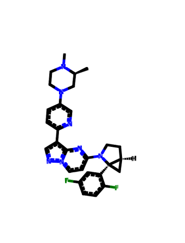 C[C@H]1CN(c2ccc(-c3cnn4ccc(N5CC[C@H]6C[C@]65c5cc(F)ccc5F)nc34)nc2)CCN1C